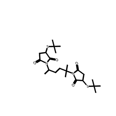 CC(CCC(C)(C)N1C(=O)CC(SC(C)(C)C)C1=O)N1C(=O)CC(SC(C)(C)C)C1=O